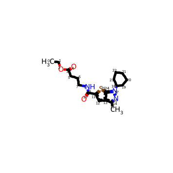 CCOC(=O)CCCNC(=O)c1cc2c(C)nn(C3CCCCC3)c2s1